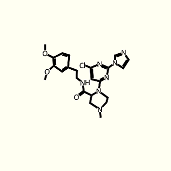 COc1ccc(CCNC(=O)C2CN(C)CCN2c2cc(Cl)nc(-n3ccnc3)n2)cc1OC